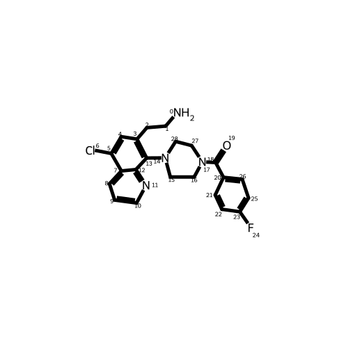 NCCc1cc(Cl)c2cccnc2c1N1CCN(C(=O)c2ccc(F)cc2)CC1